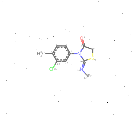 Cc1ccc(N2C(=O)CSC2=NC(C)C)cc1Cl